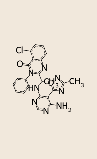 Cc1noc(-c2c(N)ncnc2NC(C)c2nc3cccc(Cl)c3c(=O)n2-c2ccccc2)n1